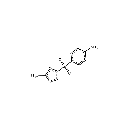 Cc1ncc(S(=O)(=O)c2ccc(N)cc2)o1